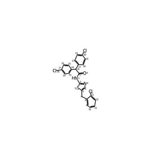 O=C(Nc1ncc(Cc2ccccc2Cl)s1)C(c1ccc(Cl)cc1)c1ccc(Cl)cc1